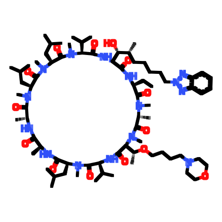 CC[C@@H]1NC(=O)[C@H]([C@H](O)[C@H](C)CCCCCn2nc3ccccc3n2)NC(=O)[C@H](C(C)C)N(C)C(=O)[C@H](CC(C)C)N(C)C(=O)[C@H](CC(C)C)N(C)C(=O)[C@@H](C)NC(=O)[C@H](C)NC(=O)[C@H](CC(C)C)N(C)C(=O)[C@H](C(C)C)NC(=O)[C@H]([C@@H](C)OCCCCN2CCOCC2)N(C)C(=O)[C@@H](C)N(C)C1=O